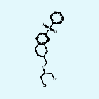 O=S(=O)(c1ccccc1)c1ccc2c(c1)OC(CNC(CO)CO)CC2